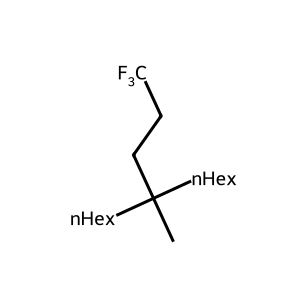 CCCCCCC(C)(CCCCCC)CCC(F)(F)F